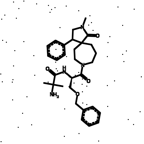 CN1CC(c2ccccc2)C2(CCCN(C(=O)[C@@H](COCc3ccccc3)NC(=O)C(C)(C)N)CC2)C1=O